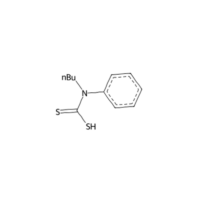 CCCCN(C(=S)S)c1ccccc1